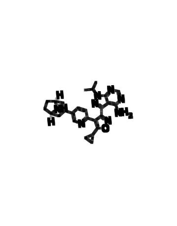 CC(C)n1nc(-c2noc(C3CC3)c2-c2ccc(C3C[C@H]4CC[C@@H](C3)N4)cn2)c2c(N)ncnc21